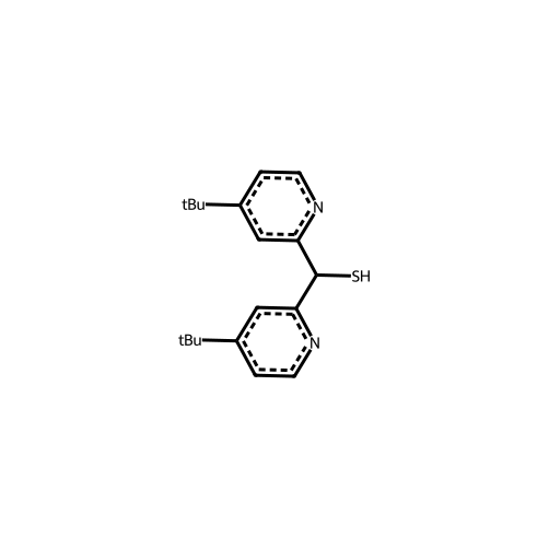 CC(C)(C)c1ccnc(C(S)c2cc(C(C)(C)C)ccn2)c1